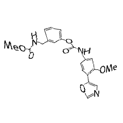 COC(=O)NCc1cccc(OC(=O)Nc2ccc(-c3cnco3)c(OC)c2)c1